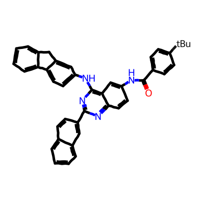 CC(C)(C)c1ccc(C(=O)Nc2ccc3nc(-c4ccc5ccccc5c4)nc(Nc4ccc5c(c4)Cc4ccccc4-5)c3c2)cc1